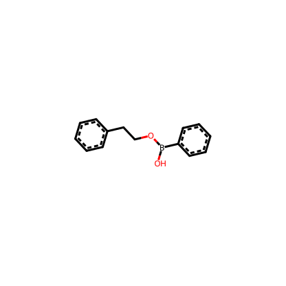 OB(OCCc1ccccc1)c1ccccc1